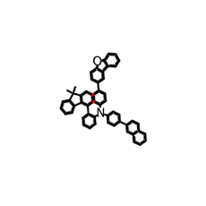 CC1(C)c2ccccc2-c2c(-c3ccccc3N(c3ccc(-c4ccc5ccccc5c4)cc3)c3ccc(-c4ccc5oc6ccccc6c5c4)cc3)cccc21